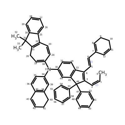 C/C=C\C1=C(/C=C/C2=CCCC=C2)c2ccc(N(C3=CCC4=C(C=C3)c3ccccc3C4(C)C)c3ccc4c(c3)CCC=C4)cc2C1(c1ccccc1)c1ccccc1